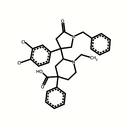 CCN1CCC(C(=O)O)(c2ccccc2)CC1C1(c2ccc(Cl)c(Cl)c2)CC(=O)N(Cc2ccccc2)C1